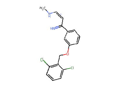 CN/C=C\C(=N)c1cccc(OCc2c(Cl)cccc2Cl)c1